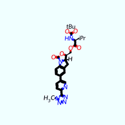 CC(C)[C@H](NC(=O)OC(C)(C)C)C(=O)OC[C@@H]1OC(=O)N2c3ccc(-c4ccc(-c5nnnn5C)nc4)cc3C[C@@H]12